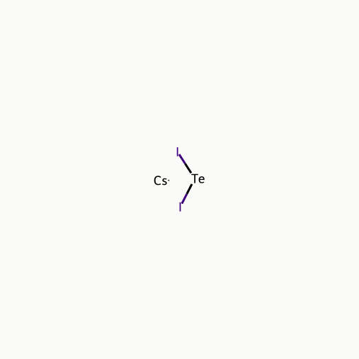 I[Te]I.[Cs]